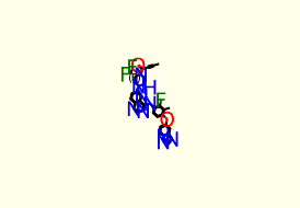 CC#CC(=O)N1CCN(c2ccc3ncnc(Nc4ccc(Oc5ccn6ncnc6c5)c(C)c4F)c3n2)C[C@@H]1C(F)F